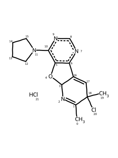 CC1=NC2Oc3c(ncnc3N3CCCC3)C2=CC1(C)Cl.Cl